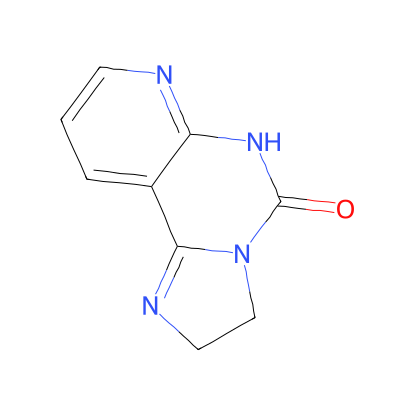 O=C1Nc2ncccc2C2=NCCN12